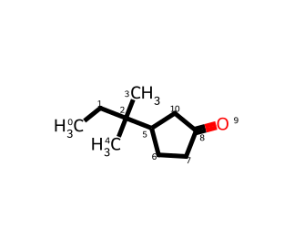 CCC(C)(C)C1CCC(=O)C1